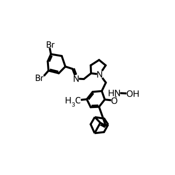 CC1=CC(CN2CCCC2C/N=C/C2C=C(Br)C=C(Br)C2)C(ONO)C(C2=C3C4CC(C2)CC3C4)=C1